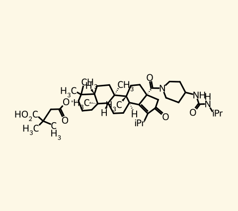 CC(C)NC(=O)NC1CCN(C(=O)[C@@]23CC[C@]4(C)[C@H](CC[C@@H]5[C@@]6(C)CC[C@H](OC(=O)CC(C)(C)C(=O)O)C(C)(C)[C@@H]6CC[C@]54C)C2=C(C(C)C)C(=O)C3)CC1